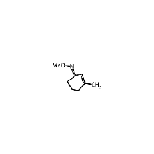 CO/N=C1/C=C(C)CCC1